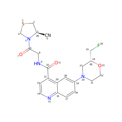 N#C[C@@H]1CSCN1C(=O)CNC(=O)c1ccnc2ccc(N3CCO[C@@H](CF)C3)cc12